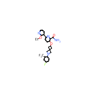 CCOc1ncccc1-c1ccc(OC2CC3(C2)CN(c2ccc(F)cc2C(F)(F)F)C3)c(C(N)=O)n1